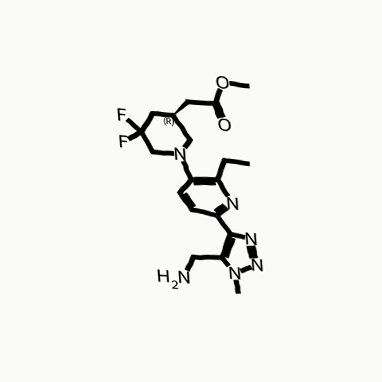 CCc1nc(-c2nnn(C)c2CN)ccc1N1C[C@H](CC(=O)OC)CC(F)(F)C1